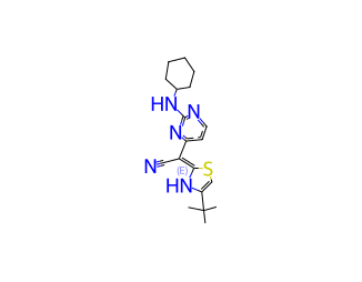 CC(C)(C)C1=CS/C(=C(/C#N)c2ccnc(NC3CCCCC3)n2)N1